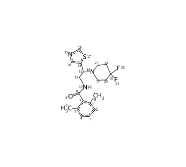 Cc1cccc(C)c1C(=O)NCC(c1cncs1)N1CCC(F)(F)CC1